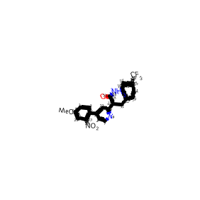 COc1ccc(-c2ccnc(C(Cc3ccc(C(F)(F)F)cc3)C(N)=O)c2)c([N+](=O)[O-])c1